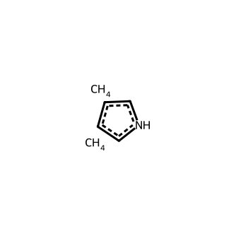 C.C.c1cc[nH]c1